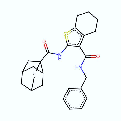 O=C(NCc1ccccc1)c1c(NC(=O)C23CC4CC(CC2C4)C3)sc2c1CCCC2